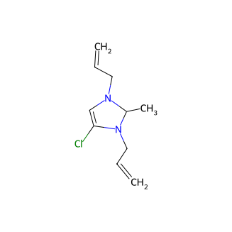 C=CCN1C=C(Cl)N(CC=C)C1C